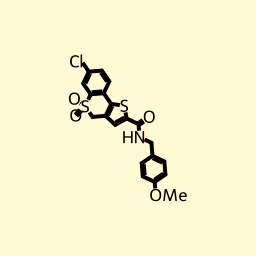 COc1ccc(CNC(=O)c2cc3c(s2)-c2ccc(Cl)cc2S(=O)(=O)C3)cc1